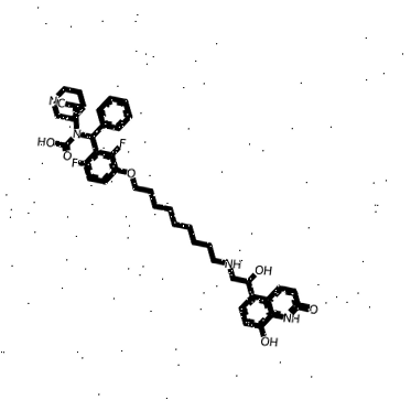 O=C(O)N(C(c1ccccc1)c1c(F)ccc(OCCCCCCCCCNCC(O)c2ccc(O)c3[nH]c(=O)ccc23)c1F)C1CN2CCC1CC2